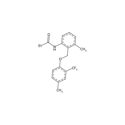 CCC(=O)Nc1cccc(C)c1COc1ccc(C)cc1C(F)(F)F